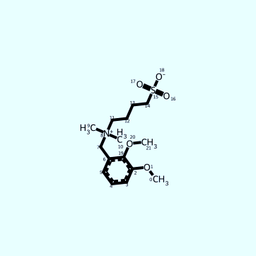 COc1cccc(C[N+](C)(C)CCCCS(=O)(=O)[O-])c1OC